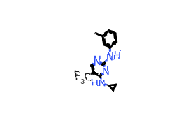 Cc1cccc(Nc2ncc(C(F)(F)F)c(NC3CC3)n2)c1